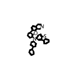 c1ccc(-c2ccc(N(c3ccc4sc5ccccc5c4c3)c3cccc4c3oc3c5cnccc5ccc43)cc2)cc1